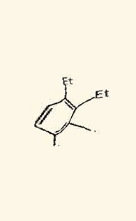 [CH2]c1ccc(CC)c(CC)c1[CH2]